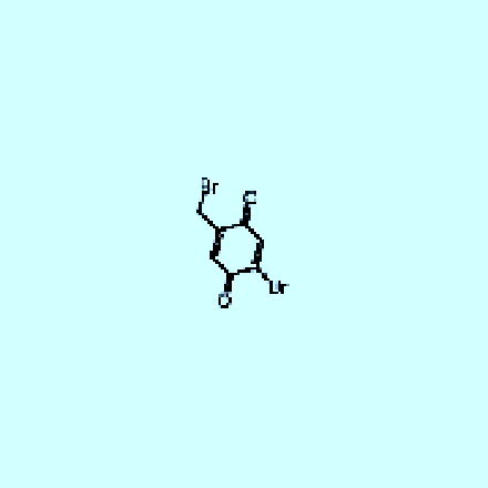 O=C1C=C(CBr)C(=O)C=C1Br